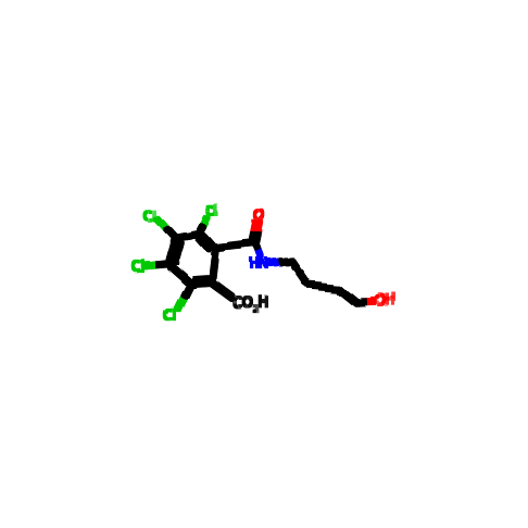 O=C(O)c1c(Cl)c(Cl)c(Cl)c(Cl)c1C(=O)NCCCCO